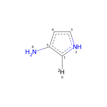 [2H]c1[nH]ccc1N